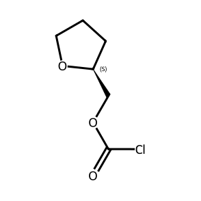 O=C(Cl)OC[C@@H]1CCCO1